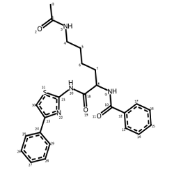 CC(=O)NCCCCC(NC(=O)c1ccccc1)C(=O)Nc1nc(-c2ccccc2)cs1